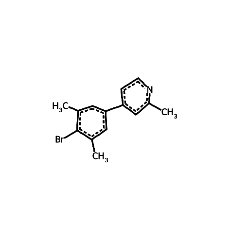 Cc1cc(-c2cc(C)c(Br)c(C)c2)ccn1